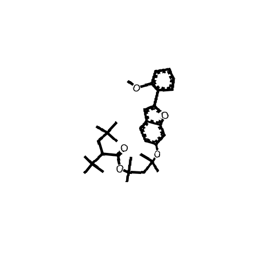 COc1ccccc1-c1cc2ccc(OC(C)(C)CC(C)(C)OC(=O)C(CC(C)(C)C)C(C)(C)C)cc2o1